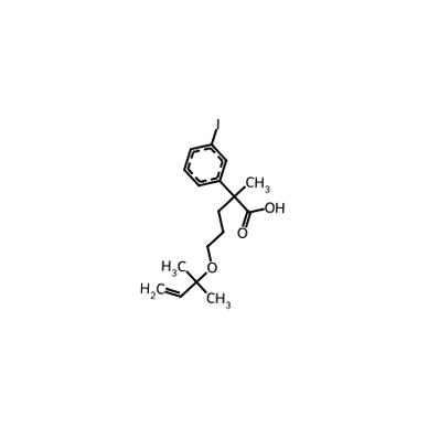 C=CC(C)(C)OCCCC(C)(C(=O)O)c1cccc(I)c1